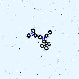 C1=CCCC(C2(c3ccccc3)c3ccccc3-c3cc(N(c4ccc(-c5ccccc5)cc4)c4ccc(-c5ccc6c(c5)c5ccccc5n6-c5ccccc5)cc4)ccc32)=C1